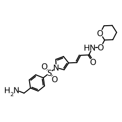 NCc1ccc(S(=O)(=O)n2ccc(/C=C/C(=O)NOC3CCCCO3)c2)cc1